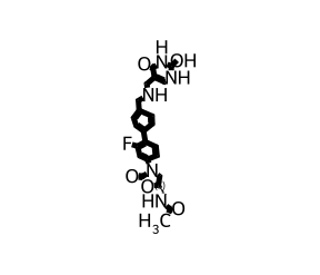 CC(=O)NC[C@H]1CN(c2ccc(-c3ccc(CNCC4=CNC(O)NC4=O)cc3)c(F)c2)C(=O)O1